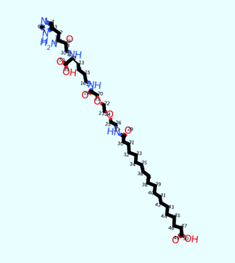 N[C@@H](Cc1cnc[nH]1)C(=O)CN[C@@H](CCCCNC(=O)COCCOCCNC(=O)CCCCCCCCCCCCCCCCCCC(=O)O)C(=O)O